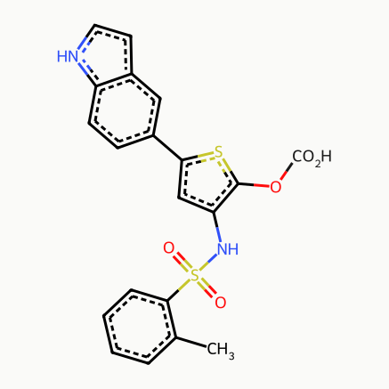 Cc1ccccc1S(=O)(=O)Nc1cc(-c2ccc3[nH]ccc3c2)sc1OC(=O)O